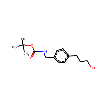 CC(C)(C)OC(=O)NCc1ccc(CCCO)cc1